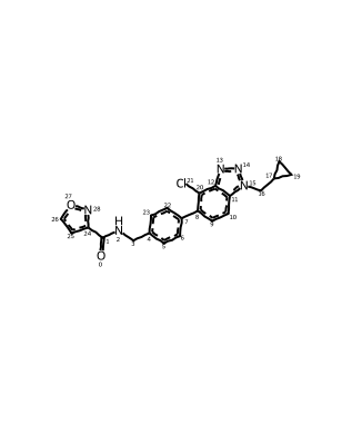 O=C(NCc1ccc(-c2ccc3c(nnn3CC3CC3)c2Cl)cc1)c1ccon1